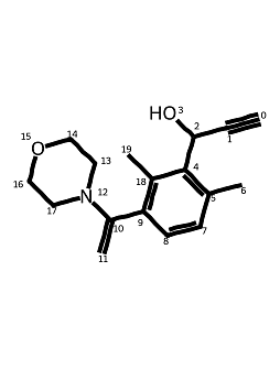 C#CC(O)c1c(C)ccc(C(=C)N2CCOCC2)c1C